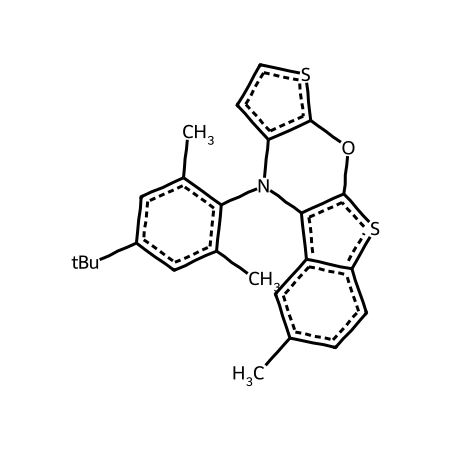 Cc1ccc2sc3c(c2c1)N(c1c(C)cc(C(C)(C)C)cc1C)c1ccsc1O3